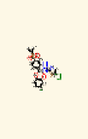 O=C(Nc1ncc(Cl)s1)C(Oc1ccc(F)cc1)c1ccc(S(=O)(=O)C2CC2)cc1